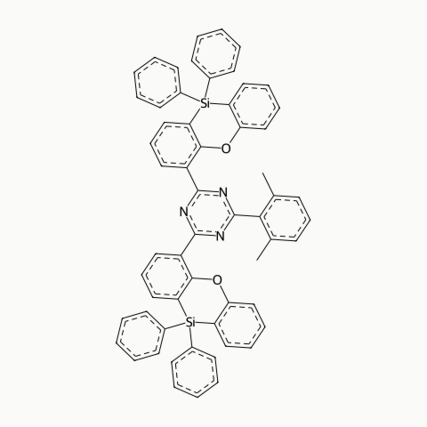 Cc1cccc(C)c1-c1nc(-c2cccc3c2Oc2ccccc2[Si]3(c2ccccc2)c2ccccc2)nc(-c2cccc3c2Oc2ccccc2[Si]3(c2ccccc2)c2ccccc2)n1